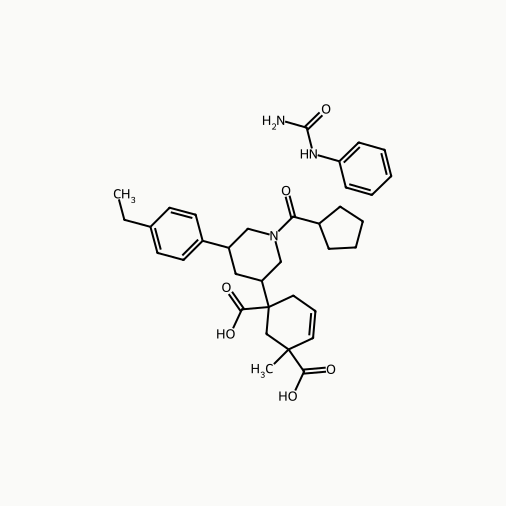 CCc1ccc(C2CC(C3(C(=O)O)CC=CC(C)(C(=O)O)C3)CN(C(=O)C3CCCC3)C2)cc1.NC(=O)Nc1ccccc1